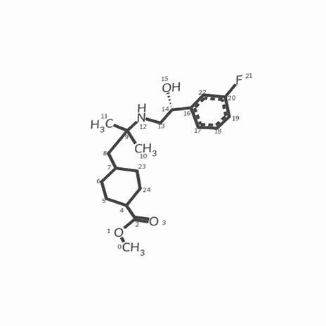 COC(=O)C1CCC(CC(C)(C)NC[C@H](O)c2cccc(F)c2)CC1